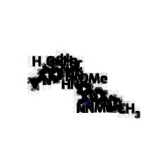 CN/N=C(\C=N)c1cc(Nc2ncc(Br)c(Nc3ccc4nc(C5CC5)ccc4c3P(C)C)n2)c(OC)cc1N1CCC(N2CCN(C)CC2)CC1